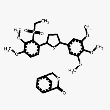 CCS(=O)(=O)c1c(C2CCC(c3cc(OC)c(OC)c(OC)c3)S2)ccc(OC)c1OC.O=C1OCc2cccc1c2